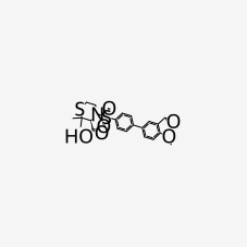 COc1ccc(-c2ccc(S(=O)(=O)N3CCSC(C)(C)[C@@H]3C(=O)O)cc2)cc1C=O